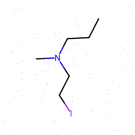 CCCN(C)CCI